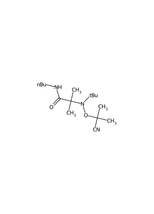 CCCCNC(=O)C(C)(C)N(OC(C)(C)C#N)C(C)(C)C